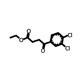 CCOC(=O)CCC(=O)c1ccc(Cl)c(Cl)c1